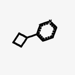 [c]1ncccc1C1CCC1